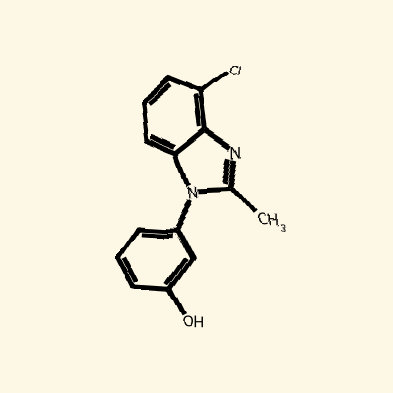 Cc1nc2c(Cl)cccc2n1-c1cccc(O)c1